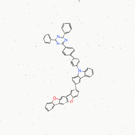 c1ccc(-c2nc(-c3ccccc3)nc(-c3ccc(-c4ccc(-n5c6ccccc6c6cc(-c7ccc8oc9cc%10c(cc9c8c7)oc7ccccc7%10)ccc65)cc4)cc3)n2)cc1